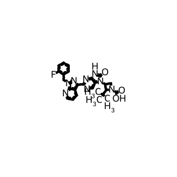 CC(C)(C)C1C(n2c(=O)[nH]c3nc(-c4nn(Cc5ccccc5F)c5ncccc45)ncc32)CN1C(=O)O